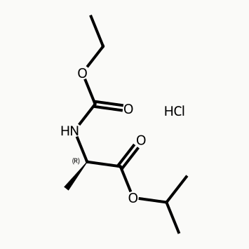 CCOC(=O)N[C@H](C)C(=O)OC(C)C.Cl